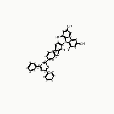 Oc1cc(O)c2c(c1)c1cc(O)cc(O)c1n2-c1ccc2c(c1)oc1cc(-c3nc(-c4ccccc4)nc(-c4ccccc4)n3)ccc12